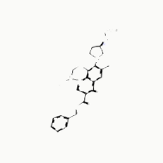 CO/N=C1\CCN(c2c(F)cc3c(=O)c(C(=O)OCc4ccccc4)cn4c3c2OCN4C)C1